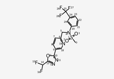 CS(=O)(=O)N(Cc1ccc(-c2nnc(C(F)F)o2)cn1)c1cccc(C(F)(F)F)c1